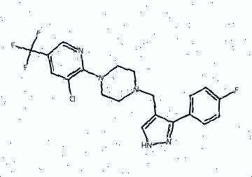 Fc1ccc(-c2n[nH]cc2CN2CCN(c3ncc(C(F)(F)F)cc3Cl)CC2)cc1